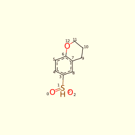 O=[SH](=O)c1ccc2c(c1)CCCO2